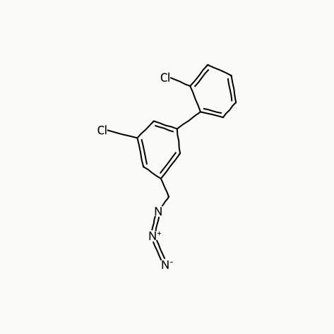 [N-]=[N+]=NCc1cc(Cl)cc(-c2ccccc2Cl)c1